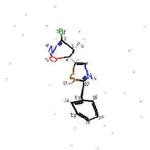 C[C@H]1C(Br)=NO[C@H]1c1cnc(-c2ccccc2)s1